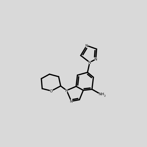 Nc1cc(-n2cncn2)cc2c1cnn2C1CCCCO1